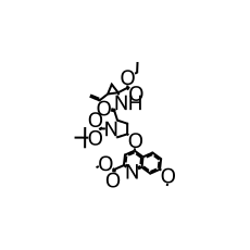 C=CC1CC1(NC(=O)C1CC(Oc2cc(C(=O)OC)nc3cc(OC)ccc23)CN1C(=O)OC(C)(C)C)C(=O)OCC